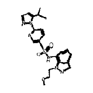 COCCn1ncc2cccc(NS(=O)(=O)c3ccc(-n4nccc4C(C)C)nc3)c21